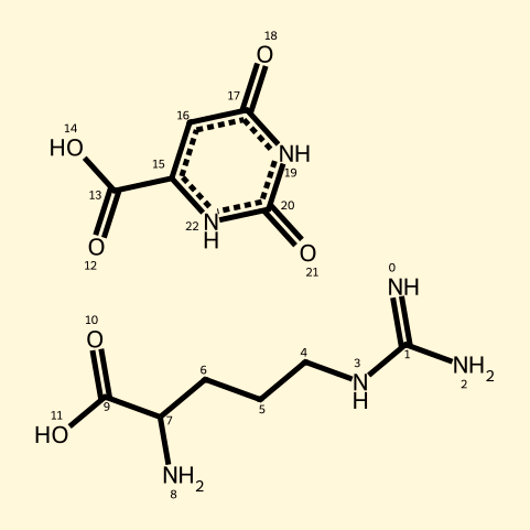 N=C(N)NCCCC(N)C(=O)O.O=C(O)c1cc(=O)[nH]c(=O)[nH]1